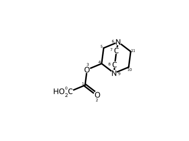 O=C(O)C(=O)OC1CN2CCN1CC2